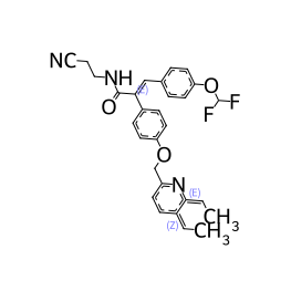 C/C=c1/ccc(COc2ccc(/C(=C\c3ccc(OC(F)F)cc3)C(=O)NCCC#N)cc2)n/c1=C/C